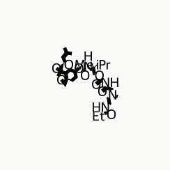 CCC(=O)NCCN(C)CC(=O)NC(=O)OC[C@H](NC(=O)OC1CC[C@]2(CO2)C(C2(C)O[C@@H]2CC=C(C)C)C1OC)C(C)C